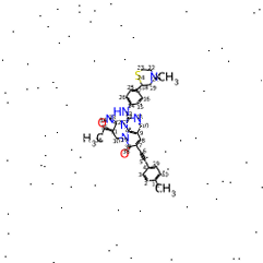 Cc1ccc(C#Cc2cc3cnc(Nc4ccc(C5CN(C)CCS5)cc4)nc3n(Cc3cnoc3C)c2=O)cc1